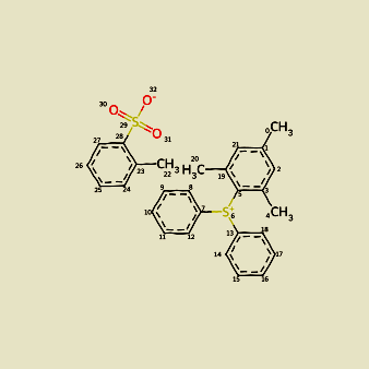 Cc1cc(C)c([S+](c2ccccc2)c2ccccc2)c(C)c1.Cc1ccccc1S(=O)(=O)[O-]